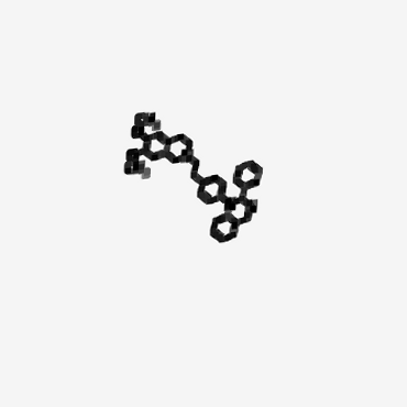 COc1cc2c(cc1OC)CN(CCc1ccc(N3c4ccccc4C=NC3c3ccccc3)cc1)CC2